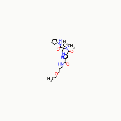 CCOCCCNC(=O)c1cc2n(n1)CC(C)(C(=O)NC1CCCC1)N(C)C2=O